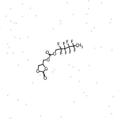 CC(F)(F)C(F)(F)C(F)(F)C(F)(F)COC(=O)OCC1COC(=O)O1